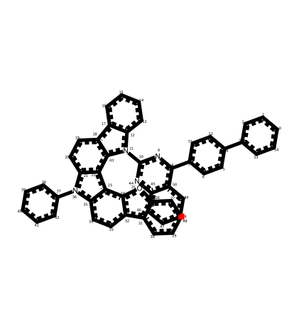 c1ccc(-c2ccc(-c3nc(-n4c5ccccc5c5ccc6c(c7c8oc9ccccc9c8ccc7n6-c6ccccc6)c54)nc4ccccc34)cc2)cc1